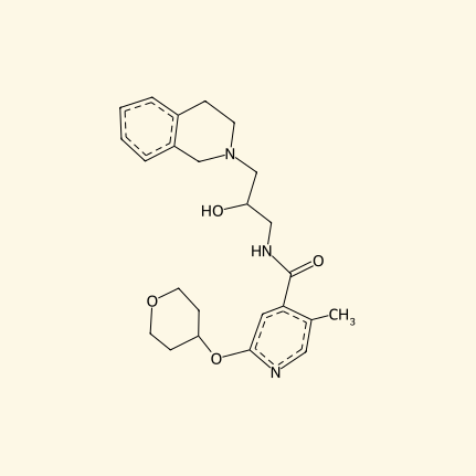 Cc1cnc(OC2CCOCC2)cc1C(=O)NCC(O)CN1CCc2ccccc2C1